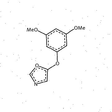 COc1cc(OC)cc(Oc2cn[c]o2)c1